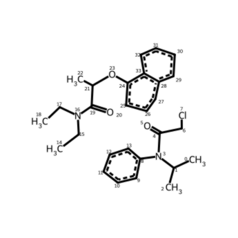 CC(C)N(C(=O)CCl)c1ccccc1.CCN(CC)C(=O)C(C)Oc1cccc2ccccc12